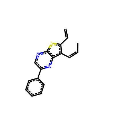 C=Cc1sc2ncc(-c3ccccc3)nc2c1/C=C\C